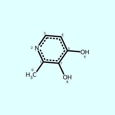 Cc1nc[c]c(O)c1O